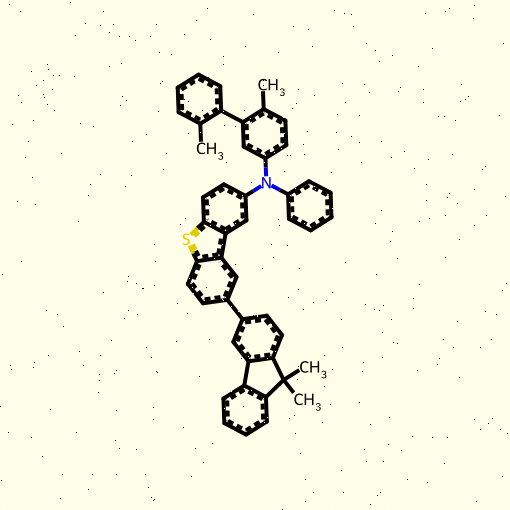 Cc1ccccc1-c1cc(N(c2ccccc2)c2ccc3sc4ccc(-c5ccc6c(c5)-c5ccccc5C6(C)C)cc4c3c2)ccc1C